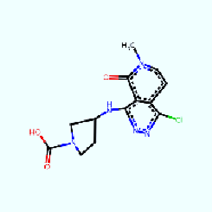 Cn1ccc2c(Cl)nnc(NC3CCN(C(=O)O)C3)c2c1=O